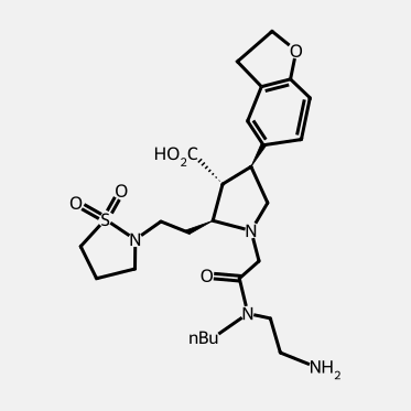 CCCCN(CCN)C(=O)CN1C[C@H](c2ccc3c(c2)CCO3)[C@@H](C(=O)O)[C@@H]1CCN1CCCS1(=O)=O